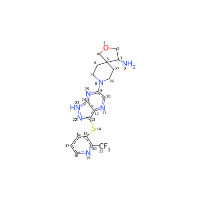 NC1COCC12CCN(c1cnc3c(Sc4cccnc4C(F)(F)F)n[nH]c3n1)CC2